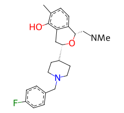 CNC[C@@H]1O[C@H](C2CCN(Cc3ccc(F)cc3)CC2)Cc2c1ccc(C)c2O